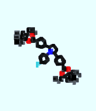 CC1(C)OB(c2ccc(C3CCC(c4ccc(B5OC(C)(C)C(C)(C)O5)cc4)N3c3ccc(F)cc3)cc2)OC1(C)C